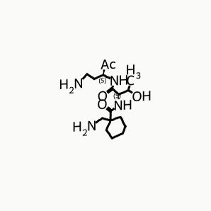 CC(=O)[C@H](CCN)NC(=O)[C@@H](NC(=O)C1(CN)CCCCC1)C(C)O